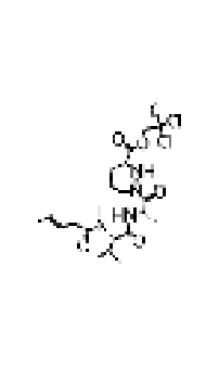 C/C=C/CC(=O)N[C@H](C(=O)N[C@@H](C)C(=O)N1CCC[C@@H](C(=O)OCC(Cl)(Cl)Cl)N1)C(C)C